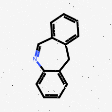 C1=Nc2ccccc2Cc2ccccc21